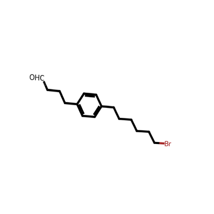 O=CCCCc1ccc(CCCCCCBr)cc1